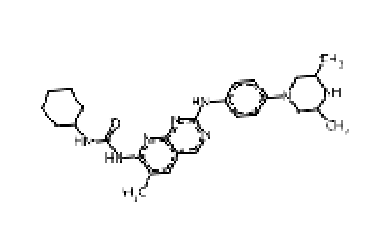 Cc1cc2cnc(Nc3ccc(N4CC(C)NC(C)C4)cc3)nc2nc1NC(=O)NC1CCCCC1